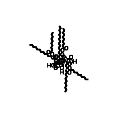 CCCCCCCCCCC[C@H](CC(=O)N[C@H](CO[C@@H]1OC(CO)[C@@H](OP(=O)(O)O)C(OC(=O)C[C@@H](CCCCCCCCCCC)OC(=O)CCCCCCCCC)[C@@H]1NC(=O)C[C@@H](CCCCCCCCCCC)OC(=O)CCCCCCCCC)C(=O)O)OC(=O)CCCCCCCCC